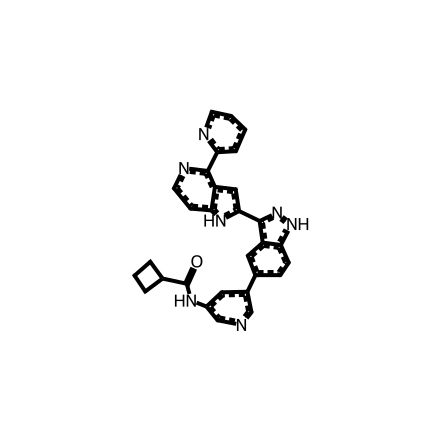 O=C(Nc1cncc(-c2ccc3[nH]nc(-c4cc5c(-c6ccccn6)nccc5[nH]4)c3c2)c1)C1CCC1